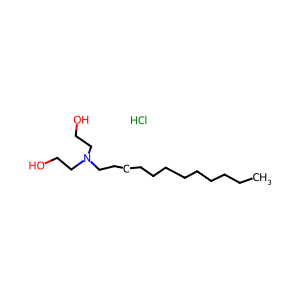 CCCCCCCCCCCCN(CCO)CCO.Cl